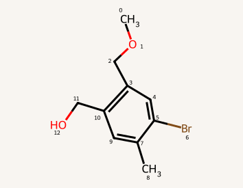 COCc1cc(Br)c(C)cc1CO